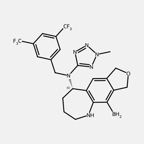 Bc1c2c(cc3c1NCCC[C@@H]3N(Cc1cc(C(F)(F)F)cc(C(F)(F)F)c1)c1nnn(C)n1)COC2